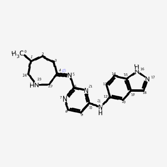 CC1CC/C(=N/c2nccc(Nc3ccc4[nH]ncc4c3)n2)CNC1